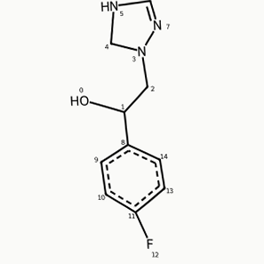 OC(CN1CNC=N1)c1ccc(F)cc1